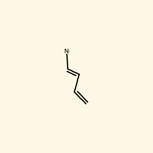 C=CC=C[N]